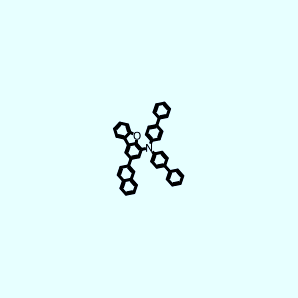 c1ccc(-c2ccc(N(c3ccc(-c4ccccc4)cc3)c3cc(-c4ccc5ccccc5c4)cc4c3oc3ccccc34)cc2)cc1